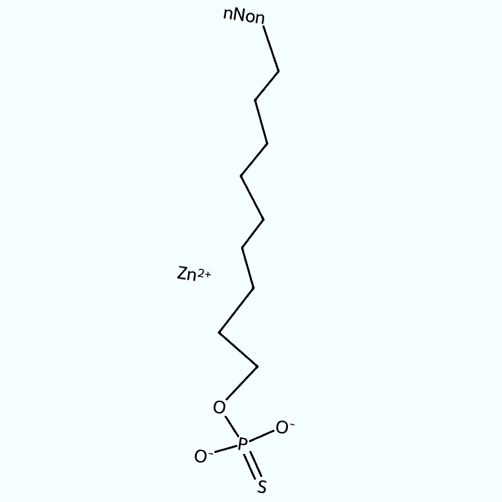 CCCCCCCCCCCCCCCCCCOP([O-])([O-])=S.[Zn+2]